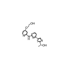 C[C@H](O)c1ncc(-c2cccc(Nc3cc(OCCO)ccn3)n2)s1